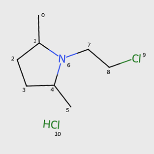 CC1CCC(C)N1CCCl.Cl